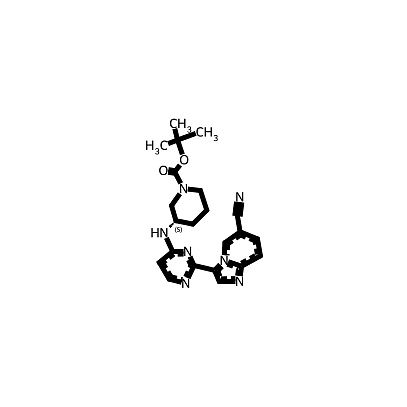 CC(C)(C)OC(=O)N1CCC[C@H](Nc2ccnc(-c3cnc4ccc(C#N)cn34)n2)C1